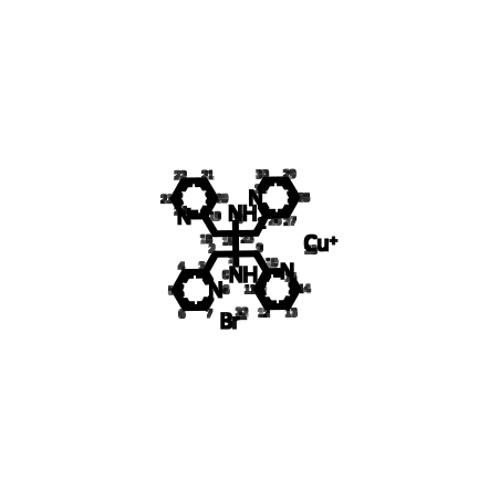 NC(Cc1ccccn1)(Cc1ccccn1)C(N)(Cc1ccccn1)Cc1ccccn1.[Br-].[Cu+]